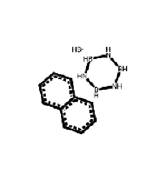 B1NBNBN1.Br.c1ccc2ccccc2c1